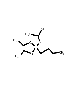 CCCC[Si](OCC)(OCC)OC(C)S